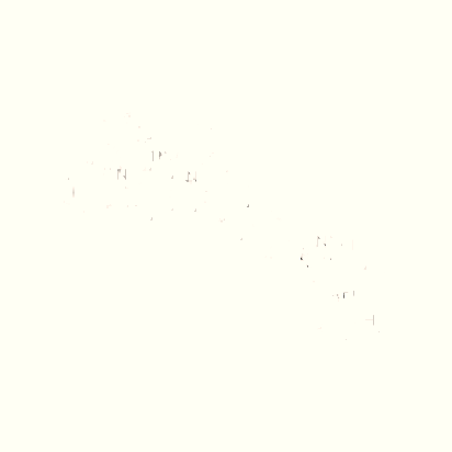 C=C/C=C\CCC1(C)N=C(c2ccc(-c3ccc(N4c5ccccc5B5c6ccccc6N(c6ccccc6)c6cccc4c65)cc3)cc2)N=C1C(C=C)CC